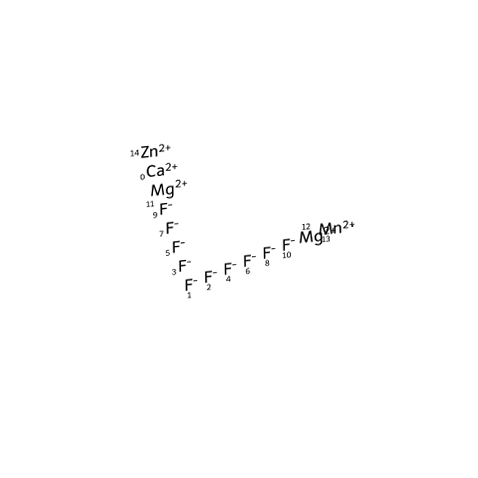 [Ca+2].[F-].[F-].[F-].[F-].[F-].[F-].[F-].[F-].[F-].[F-].[Mg+2].[Mg+2].[Mn+2].[Zn+2]